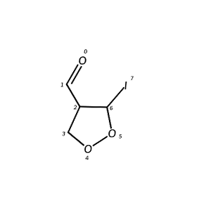 O=CC1COOC1I